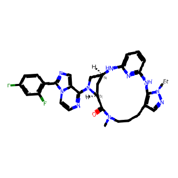 CCn1ncc2c1Nc1cccc(n1)N[C@H]1C[C@@H](C(=O)N(C)CCC2)N(c2nccn3c(-c4ccc(F)cc4F)ncc23)C1